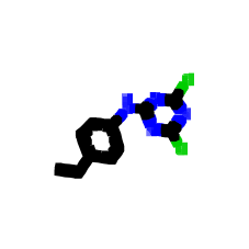 C=Cc1ccc(Nc2nc(Cl)nc(Cl)n2)cc1